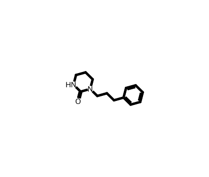 O=C1NCCCN1CCCc1ccccc1